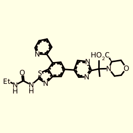 CCNC(=O)Nc1nc2cc(-c3cnc(C(C)(C)N4CCOC[C@@H]4C(=O)O)nc3)cc(-c3ccccn3)c2s1